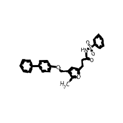 Cc1oc(CCC(=O)NS(=O)(=O)c2ccccc2)cc1COc1ccc(-c2ccccc2)cc1